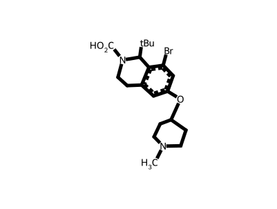 CN1CCC(Oc2cc(Br)c3c(c2)CCN(C(=O)O)C3C(C)(C)C)CC1